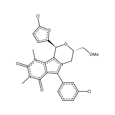 COC[C@@H]1Cn2c(-c3cccc(Cl)c3)c3c(=O)n(C)c(=O)n(C)c3c2[C@@H](c2ccc(Cl)o2)O1